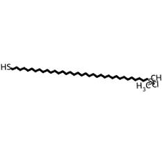 C[Si](C)(Cl)CCCCCCCCCCCCCCCCCCCCCCCCCCCCCCCCCCCCS